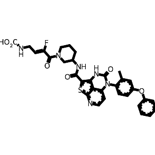 Cc1cc(Oc2ccccc2)ccc1N1C(=O)Nc2c(C(=O)NC3CCCN(C(=O)/C(F)=C/CNC(=O)O)C3)sc3nccc1c23